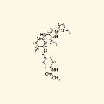 CC(=O)NC1CCC(COc2nc(Nc3cn(C(C)C)nc3C)ncc2F)CC1